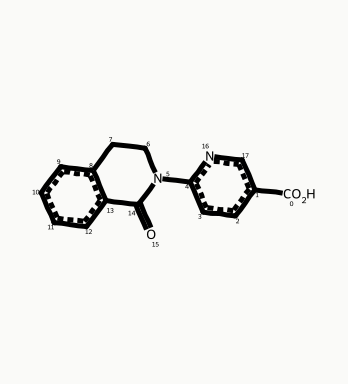 O=C(O)c1ccc(N2CCc3ccccc3C2=O)nc1